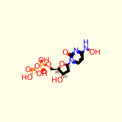 O=c1nc(NO)ccn1[C@H]1C[C@H](O)[C@@H](COP(=O)(O)OP(=O)(O)O)O1